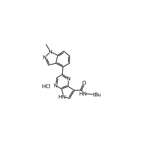 Cl.Cn1ncc2c(-c3cnc4[nH]cc(C(=O)NC(C)(C)C)c4n3)cccc21